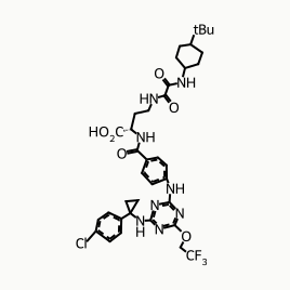 CC(C)(C)C1CCC(NC(=O)C(=O)NCC[C@H](NC(=O)c2ccc(Nc3nc(NC4(c5ccc(Cl)cc5)CC4)nc(OCC(F)(F)F)n3)cc2)C(=O)O)CC1